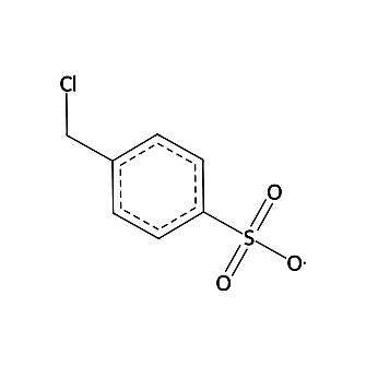 [O]S(=O)(=O)c1ccc(CCl)cc1